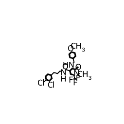 COc1ccc(CNc2c(C(=O)NCCCc3ccc(Cl)c(Cl)c3)cc(C(F)(F)F)n(C)c2=O)cc1